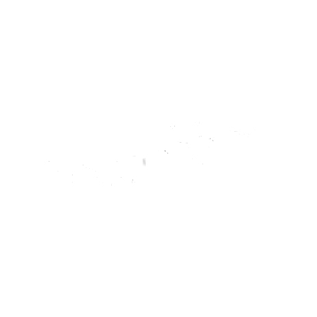 O=C(O)CNC(=O)C1=C(O)CCN(Cc2ccc(Oc3ccc(C4CC4)cc3)nc2)C1=O